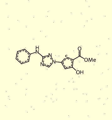 COC(=O)c1sc(-n2cnc(Nc3ccccc3)n2)cc1O